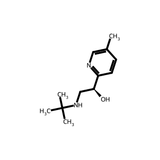 Cc1ccc([C@@H](O)CNC(C)(C)C)nc1